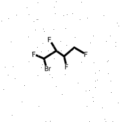 FCC(F)C(F)C(F)Br